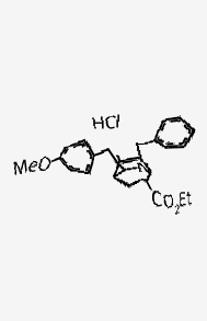 CCOC(=O)C1CC2C(C)=CC1N(Cc1ccccc1)C2Cc1ccc(OC)cc1.Cl